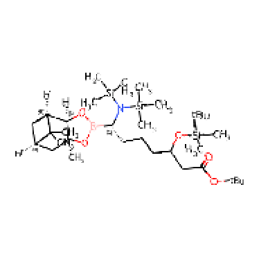 CC(C)(C)OC(=O)CC(CCC[C@H](B1O[C@@H]2[C@@H]3C[C@H](C[C@]2(C)O1)C3(C)C)N([Si](C)(C)C)[Si](C)(C)C)O[Si](C)(C)C(C)(C)C